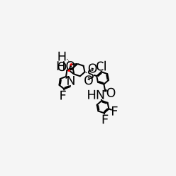 C[C@H]1CC2C[C@@H](S(=O)(=O)c3cc(C(=O)Nc4ccc(F)c(F)c4)ccc3Cl)CC1[C@@]2(O)C(O)c1ccc(F)cn1